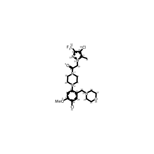 COc1cc(N2CCN(C(=O)Cn3nc(C(F)(F)F)c(Cl)c3C)CC2)c(CN2CCOCC2)cc1Cl